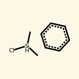 C[SiH](C)Cl.c1ccccc1